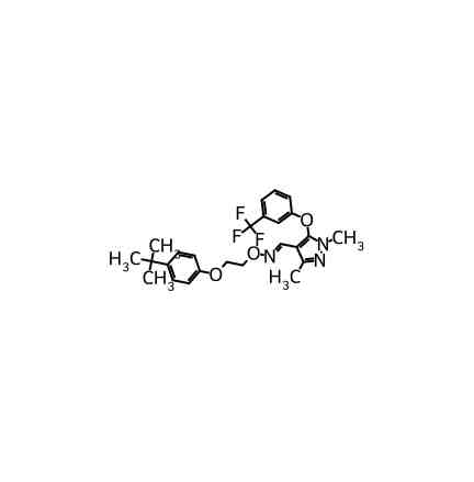 Cc1nn(C)c(Oc2cccc(C(F)(F)F)c2)c1C=NOCCOc1ccc(C(C)(C)C)cc1